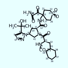 CC(C)(O)c1cnnn1[C@H]1C[C@@H](C(=O)NC2(C(=O)C(N)=O)CCS(=O)(=O)CC2)N(C(=O)[C@@H](CC2CCCCC2)NC(=O)O)C1